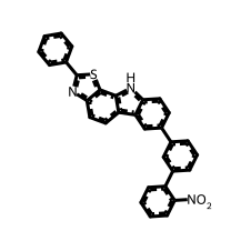 O=[N+]([O-])c1ccccc1-c1cccc(-c2ccc3[nH]c4c(ccc5nc(-c6ccccc6)sc54)c3c2)c1